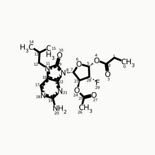 CCC(=O)O[C@H]1O[C@@H](n2c(=O)n(CC(C)C)c3cnc(N)nc32)[C@H](OC(C)=O)[C@H]1F